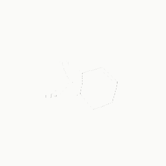 C1=CCCCC1.CCCCOCCCC